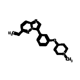 C=Cc1ccc2ncc(-c3cccc(OC4CCN(C)CC4)c3)n2n1